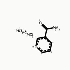 Cl.Cl.Cl.NC(=O)c1cccnc1